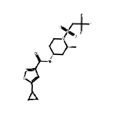 C[C@H]1C[C@H](NC(=O)c2cc(C3CC3)on2)CCN1S(=O)(=O)CC(F)(F)F